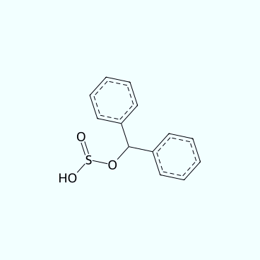 O=S(O)OC(c1ccccc1)c1ccccc1